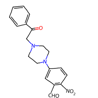 O=Cc1cc(N2CCN(CC(=O)c3ccccc3)CC2)ccc1[N+](=O)[O-]